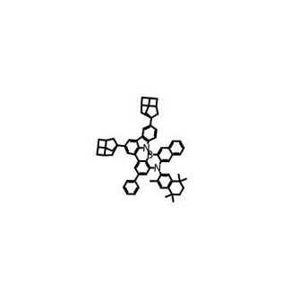 Cc1cc2c(cc1N1c3cc4ccccc4cc3B3c4c(cc(-c5ccccc5)cc41)-c1cc(C45CC6CC7CC(C4)C76C5)cc4c5cc(C67CC8CC9CC(C6)C98C7)ccc5n3c14)C(C)(C)CCC2(C)C